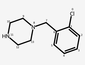 Clc1cc[c]cc1CN1CCNCC1